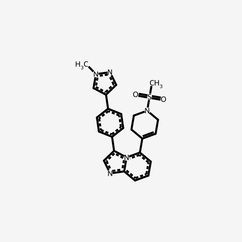 Cn1cc(-c2ccc(-c3cnc4cccc(C5=CCN(S(C)(=O)=O)CC5)n34)cc2)cn1